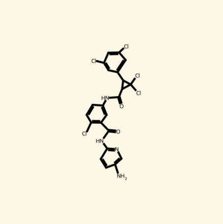 Nc1ccc(NC(=O)c2cc(NC(=O)C3C(c4cc(Cl)cc(Cl)c4)C3(Cl)Cl)ccc2Cl)nc1